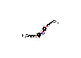 CCCCC=CCOc1ccc(-c2nnc(-c3ccc(OCC=CCCCC)cc3)o2)cc1